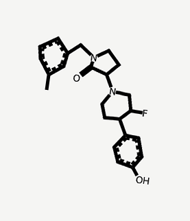 Cc1cccc(CN2CCC(N3CCC(c4ccc(O)cc4)C(F)C3)C2=O)c1